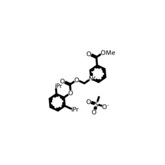 COC(=O)c1ccc[n+](COC(=O)Oc2c(C(C)C)cccc2C(C)C)c1.CS(=O)(=O)[O-]